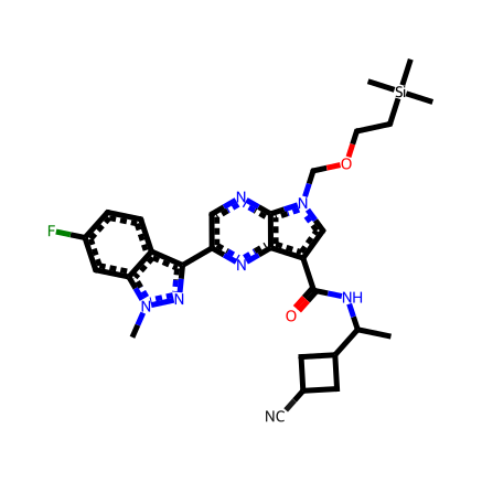 CC(NC(=O)c1cn(COCC[Si](C)(C)C)c2ncc(-c3nn(C)c4cc(F)ccc34)nc12)C1CC(C#N)C1